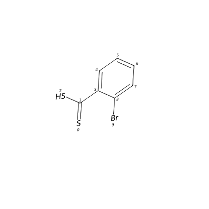 S=C(S)c1ccccc1Br